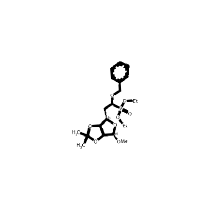 CCOP(=O)(OCC)C(C[C@H]1O[C@@H](OC)C2OC(C)(C)OC21)OCc1ccccc1